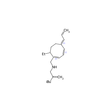 C=C/C=C1/C=C\C=C(\CNCC(=C)C(C)CC)C(CC)CC1